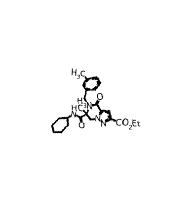 CCOC(=O)c1cc2n(n1)CC(C)(C(=O)NC1CCCCC1)N(Cc1cccc(C)c1)C2=O